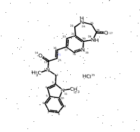 CN(Cc1cc2ccccc2n1C)C(=O)/C=C/c1cnc2c(c1)CNCC(=O)N2.Cl